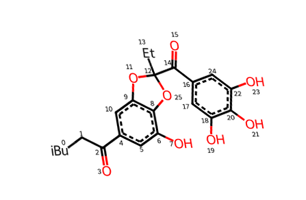 CCC(C)CC(=O)c1cc(O)c2c(c1)OC(CC)(C(=O)c1cc(O)c(O)c(O)c1)O2